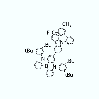 Cc1cc(-c2ccccc2-n2c3ccccc3c3cc(-c4cc5c6c(c4)N(c4cc(C(C)(C)C)cc(C(C)(C)C)c4)c4ccccc4B6c4ccccc4N5c4cc(C(C)(C)C)cc(C(C)(C)C)c4)ccc32)cc(C(F)(F)F)c1